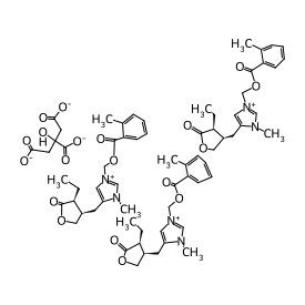 CC[C@@H]1C(=O)OC[C@@H]1Cc1c[n+](COC(=O)c2ccccc2C)cn1C.CC[C@@H]1C(=O)OC[C@@H]1Cc1c[n+](COC(=O)c2ccccc2C)cn1C.CC[C@@H]1C(=O)OC[C@@H]1Cc1c[n+](COC(=O)c2ccccc2C)cn1C.O=C([O-])CC(O)(CC(=O)[O-])C(=O)[O-]